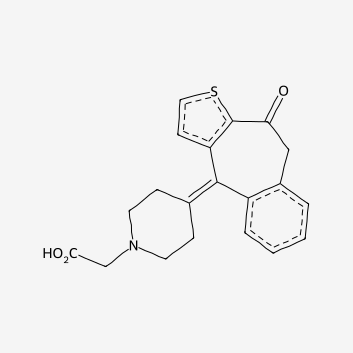 O=C(O)CN1CCC(=C2c3ccccc3CC(=O)c3sccc32)CC1